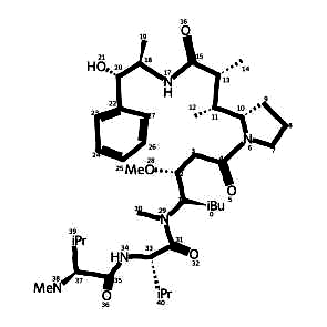 CC[C@H](C)C([C@@H](CC(=O)N1CCC[C@H]1[C@H](C)[C@@H](C)C(=O)N[C@H](C)[C@@H](O)c1ccccc1)OC)N(C)C(=O)[C@@H](NC(=O)[C@@H](NC)C(C)C)C(C)C